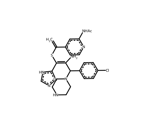 C=C(S/C(=C(\N)C(c1ccc(Cl)cc1)N1CCNCC1)c1nnc[nH]1)c1ccnc(NC(C)=O)c1